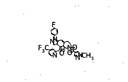 Cn1cc(S(=O)(=O)N2CCC3=Cc4c(cnn4-c4ccc(F)cc4)[C@H](C(=O)c4cc(C(F)(F)F)ccn4)[C@H]3C2)cn1